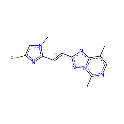 Cc1cnc(C)n2nc(/C=C/c3nc(Br)cn3C)nc12